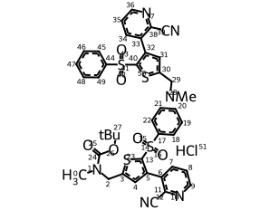 CN(Cc1cc(-c2cccnc2C#N)c(S(=O)(=O)c2ccccc2)s1)C(=O)OC(C)(C)C.CNCc1cc(-c2cccnc2C#N)c(S(=O)(=O)c2ccccc2)s1.Cl